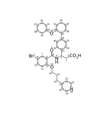 O=C(O)CC(NC(=O)c1cc(Br)ccc1OCCCc1ccncc1)c1ccc(-c2ccccc2Oc2ccccc2)cc1